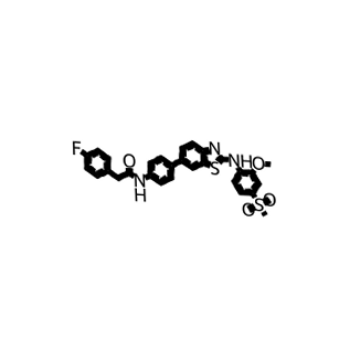 COc1cc(S(C)(=O)=O)ccc1Nc1nc2ccc(-c3ccc(NC(=O)Cc4ccc(F)cc4)cc3)cc2s1